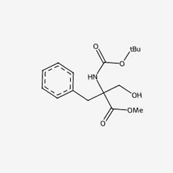 COC(=O)C(CO)(Cc1ccccc1)NC(=O)OC(C)(C)C